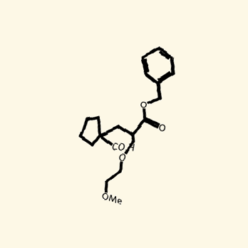 COCCOCC(CC1(C(=O)O)CCCC1)C(=O)OCc1ccccc1